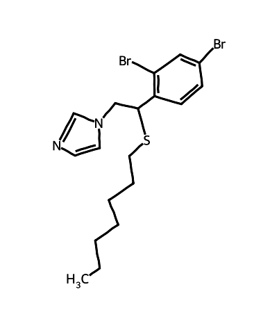 CCCCCCCSC(Cn1ccnc1)c1ccc(Br)cc1Br